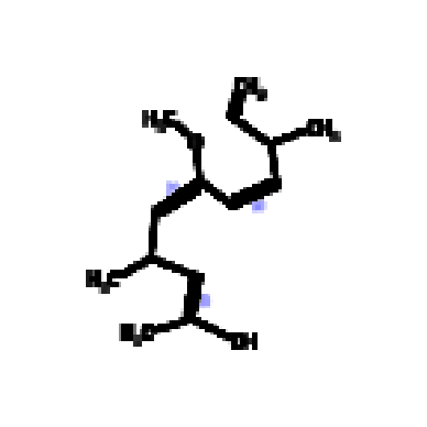 C=CC(C)/C=C\C(=C/C(C)/C=C(\C)O)OC